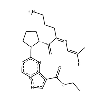 C=C(/C(CCCN)=N\C=C(/C)F)[C@H]1CCCN1c1ccn2ncc(C(=O)OCC)c2n1